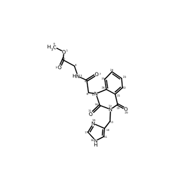 COC(=O)CNC(=O)Cn1c(=O)n(Cc2c[nH]cn2)c(=O)c2ccccc21